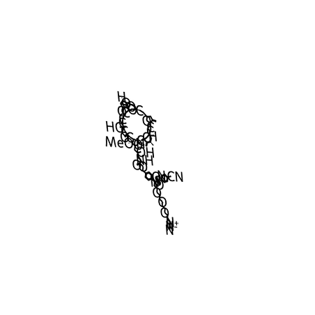 C=C1CC2CC[C@]34C[C@H]5OC6C(CC(CCC(O)CC(=O)CC7[C@@H](OC)C(CC(O)CNC(=O)OCc8ccc(N(CCOCCOCCOCCN=[N+]=[N-])S(=O)(=O)c9ccc(C#N)cn9)cc8)O[C@H]7CC7O[C@@H](CCC1O2)C[C@@H](C)C7=C)OC6C5O3)O4